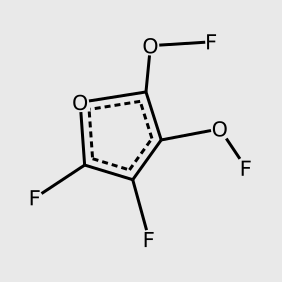 FOc1oc(F)c(F)c1OF